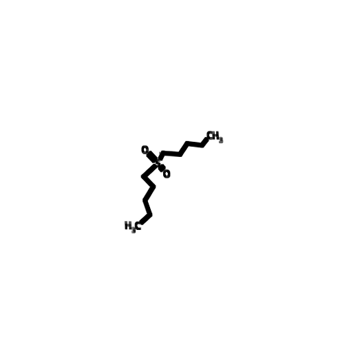 CCCC[CH]S(=O)(=O)CCCCC